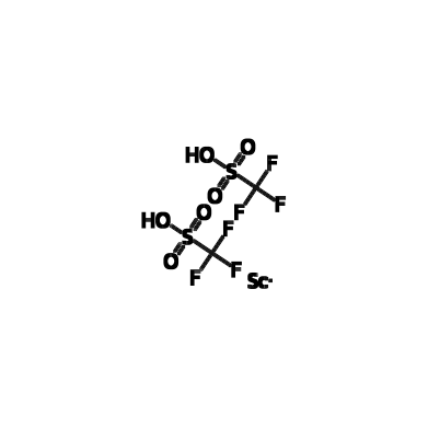 O=S(=O)(O)C(F)(F)F.O=S(=O)(O)C(F)(F)F.[Sc]